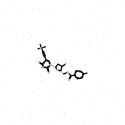 Cc1ccc(C(=O)OC[C@@H]2O[C@H](n3cc(C#C[Si](C)(C)C)c(=O)[nH]c3=O)CC2F)cc1